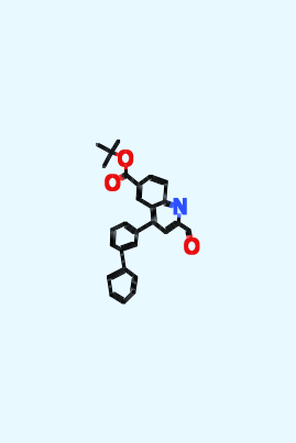 CC(C)(C)OC(=O)c1ccc2nc(C=O)cc(-c3cccc(-c4ccccc4)c3)c2c1